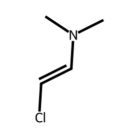 CN(C)/C=C/Cl